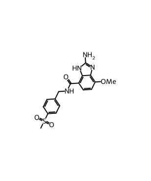 COc1ccc(C(=O)NCc2ccc(S(C)(=O)=O)cc2)c2[nH]c(N)nc12